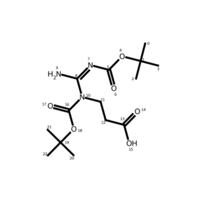 CC(C)(C)OC(=O)N=C(N)N(CCC(=O)O)C(=O)OC(C)(C)C